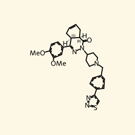 COc1ccc(C2=NN(C3CCN(Cc4ccc(-c5csnn5)cc4)CC3)C(=O)[C@@H]3CC=CC[C@H]23)cc1OC